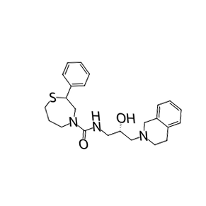 O=C(NC[C@H](O)CN1CCc2ccccc2C1)N1CCCSC(c2ccccc2)C1